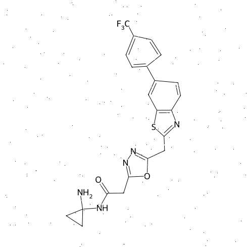 NC1(NC(=O)Cc2nnc(Cc3nc4ccc(-c5ccc(C(F)(F)F)cc5)cc4s3)o2)CC1